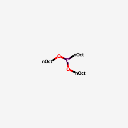 CCCCCCCCOP(CCCCCCCC)OCCCCCCCC